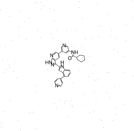 O=C(Nc1cncc(-c2cnc3[nH]nc(-c4cc5c(-c6ccncc6)cccc5[nH]4)c3c2)c1)C1CCCCC1